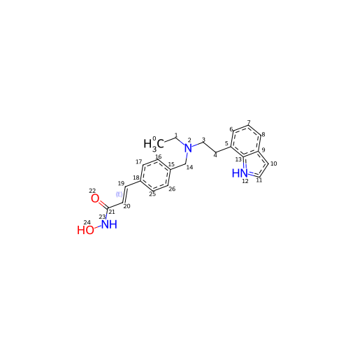 CCN(CCc1cccc2cc[nH]c12)Cc1ccc(/C=C/C(=O)NO)cc1